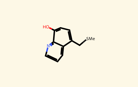 CSCc1ccc(O)c2ncccc12